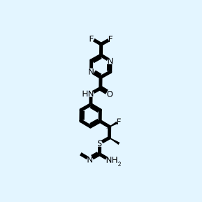 C/N=C(/N)S[C@H](C)[C@H](F)c1cccc(NC(=O)c2cnc(C(F)F)cn2)c1